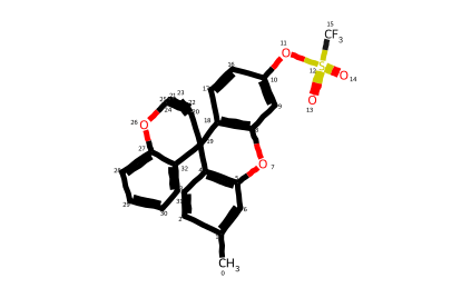 Cc1ccc2c(c1)Oc1cc(OS(=O)(=O)C(F)(F)F)ccc1C21c2ccccc2Oc2ccccc21